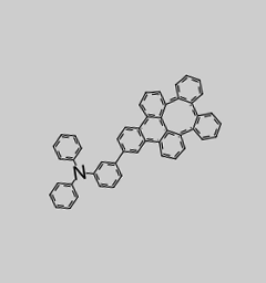 c1ccc(N(c2ccccc2)c2cccc(-c3ccc4c(c3)c3cccc5c6ccccc6c6ccccc6c6cccc4c6c53)c2)cc1